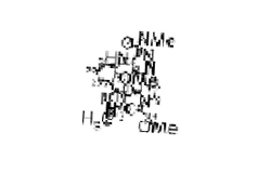 CNC(=O)c1nnc(N2CCN(C(C)COC)C2=O)cc1Nc1cccc(-c2ncn(C)n2)c1OC